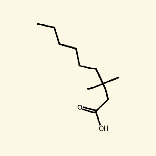 CCCCCCC(C)(C)CC(=O)O